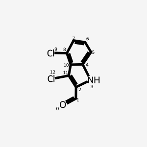 O=Cc1[nH]c2cccc(Cl)c2c1Cl